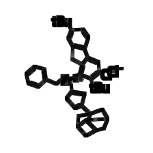 CC(C)(C)c1ccc2c(c1)Cc1c-2ccc(C(C)(C)C)[c]1[Zr+2](=[CH]Cc1ccccc1)[C]1=CC(C23CC4CC(CC(C4)C2)C3)=CC1.[Cl-].[Cl-]